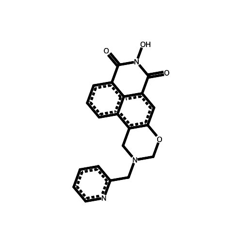 O=C1c2cccc3c4c(cc(c23)C(=O)N1O)OCN(Cc1ccccn1)C4